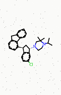 CC(C)N1CCN([C@H]2C[C@H](c3cccc4c3-c3ccccc3C4)c3ccc(Cl)cc32)CC1(C)C